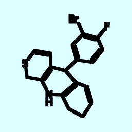 Fc1ccc(C2C3=C(CCC=C3)NC3=C2C=CSC3)cc1Br